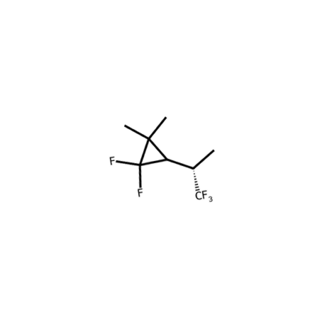 C[C@@H](C1C(C)(C)C1(F)F)C(F)(F)F